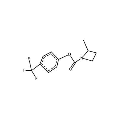 CC1CCN1C(=O)Oc1ccc(C(F)(F)F)cc1